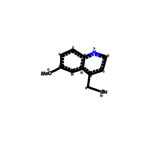 COc1ccc2nccc(CC(C)(C)C)c2c1